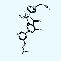 Cc1cc(-c2cncc(OCC(F)F)c2)nc2c1C(=O)N(c1cnn(CN)c1)C2(C)C